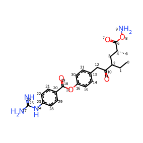 CCC(C[C@@H](C)C(=O)ON)C(=O)Cc1ccc(OC(=O)c2ccc(NC(=N)N)cc2)cc1